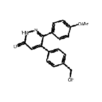 COc1ccc(-c2n[nH]c(=O)cc2-c2ccc(CO)cc2)cc1